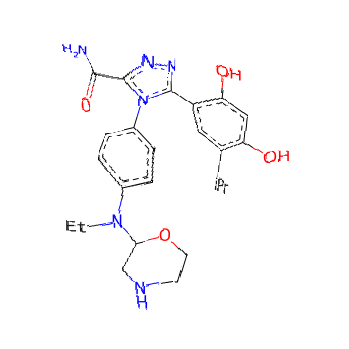 CCN(c1ccc(-n2c(C(N)=O)nnc2-c2cc(C(C)C)c(O)cc2O)cc1)C1CNCCO1